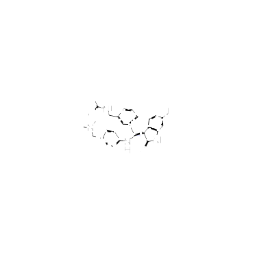 CC(=O)NCc1cccc(/C(Nc2ccc(CN(C)C)cc2)=C2/C(=O)Nc3cc(F)ccc32)c1